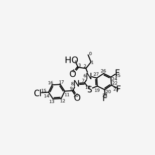 CCC(C(=O)O)n1c(=NC(=O)c2ccc(Cl)cc2)sc2c(F)c(F)c(F)cc21